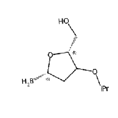 B[C@H]1CC(OC(C)C)[C@@H](CO)O1